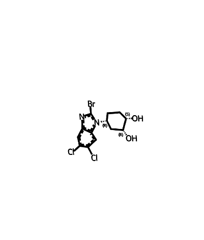 O[C@@H]1C[C@H](n2c(Br)nc3cc(Cl)c(Cl)cc32)CC[C@@H]1O